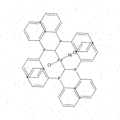 [Cl][Ni][Pd]([Cl])([CH](P(c1ccccc1)c1ccccc1)P(c1ccccc1)c1ccccc1)[CH](P(c1ccccc1)c1ccccc1)P(c1ccccc1)c1ccccc1